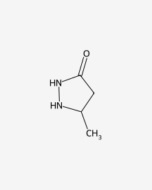 CC1CC(=O)NN1